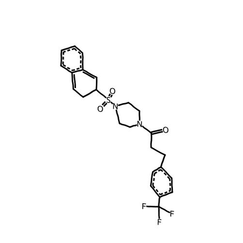 O=C(CCc1ccc(C(F)(F)F)cc1)N1CCN(S(=O)(=O)C2C=c3ccccc3=CC2)CC1